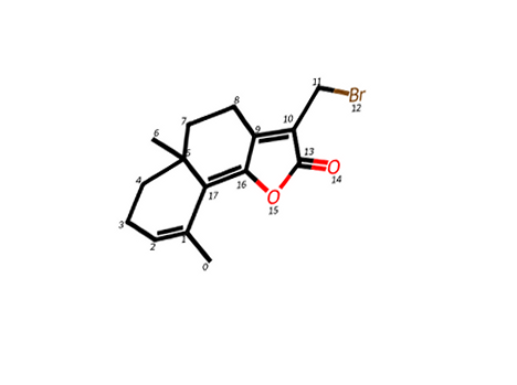 CC1=CCCC2(C)CCC3=C(CBr)C(=O)OC3=C12